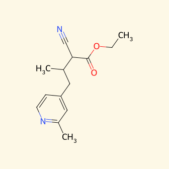 CCOC(=O)C(C#N)C(C)Cc1ccnc(C)c1